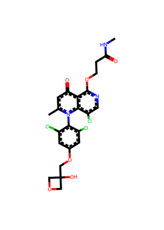 CNC(=O)CCOc1ncc(Cl)c2c1c(=O)cc(C)n2-c1c(Cl)cc(OCC2(O)COC2)cc1Cl